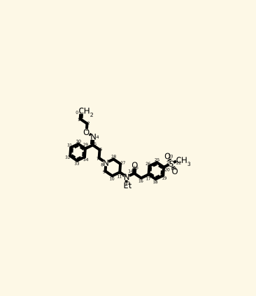 C=CCO/N=C(/CCN1CCC(N(CC)C(=O)Cc2ccc(S(C)(=O)=O)cc2)CC1)c1ccccc1